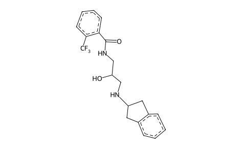 O=C(NCC(O)CNC1Cc2ccccc2C1)c1ccccc1C(F)(F)F